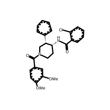 COc1ccc(C(=O)N2CC[C@@H](NC(=O)c3ccccc3Cl)[C@@H](c3ccccc3)C2)cc1OC